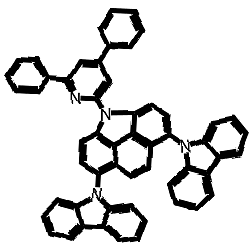 c1ccc(-c2cc(-c3ccccc3)nc(-n3c4ccc(-n5c6ccccc6c6ccccc65)c5ccc6c(-n7c8ccccc8c8ccccc87)ccc3c6c54)c2)cc1